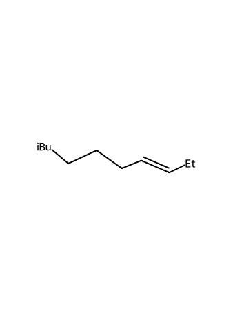 CCC=CCCCC(C)CC